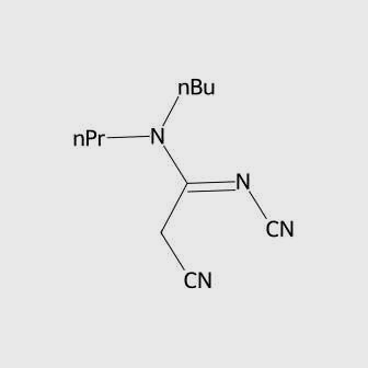 CCCCN(CCC)C(CC#N)=NC#N